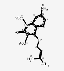 CCCCCCCCn1c(=O)c(OC(C)=O)c(OCC=C(C)C)c2ccc(N)cc21